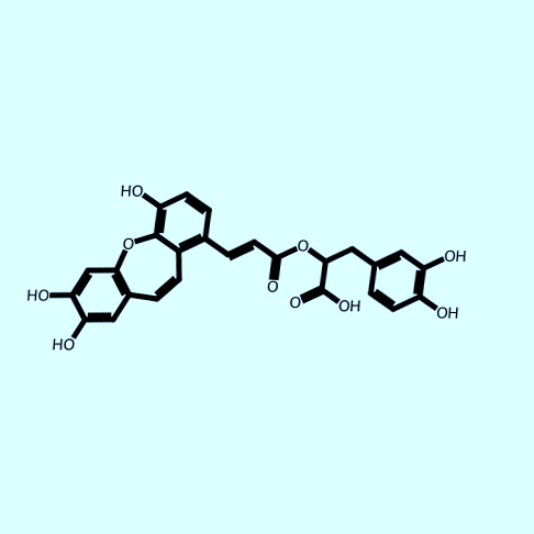 O=C(/C=C/c1ccc(O)c2c1C=Cc1cc(O)c(O)cc1O2)OC(Cc1ccc(O)c(O)c1)C(=O)O